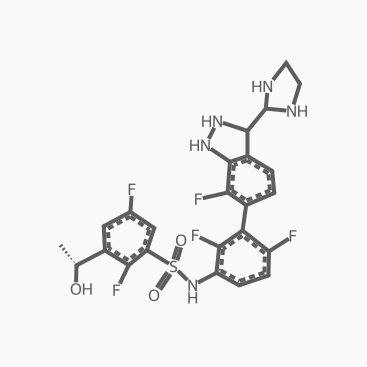 C[C@@H](O)c1cc(F)cc(S(=O)(=O)Nc2ccc(F)c(-c3ccc4c(c3F)NNC4C3NCCN3)c2F)c1F